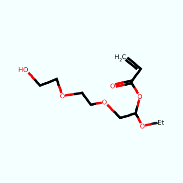 C=CC(=O)OC(COCCOCCO)OCC